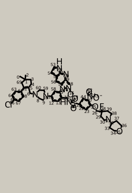 CC1(C)CCC(CN2CCN(c3ccc(C(=O)NS(=O)(=O)c4ccc(OCC5(F)CCN(C6CCOCC6)CC5)c([N+](=O)[O-])c4)c(-n4ncc5nc6[nH]ccc6cc54)c3)CC2)=C(c2ccc(Cl)cc2)C1